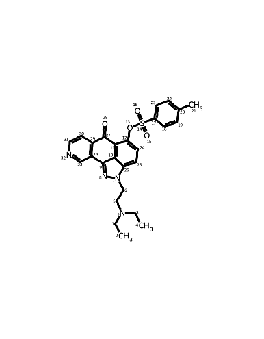 CCN(CC)CCn1nc2c3c(c(OS(=O)(=O)c4ccc(C)cc4)ccc31)C(=O)c1ccncc1-2